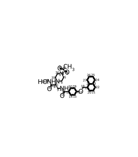 CS(=O)(=O)N1CCN([C@@H](CNC(=O)c2ccc(OCc3cccc4ccccc34)cc2)C(=O)NO)CC1